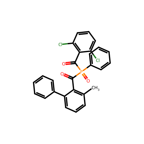 Cc1cccc(-c2ccccc2)c1C(=O)P(=O)(C(=O)c1c(Cl)cccc1Cl)c1ccccc1